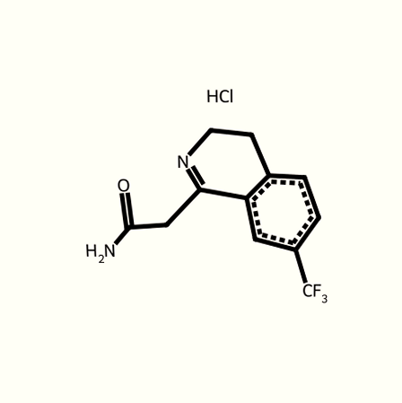 Cl.NC(=O)CC1=NCCc2ccc(C(F)(F)F)cc21